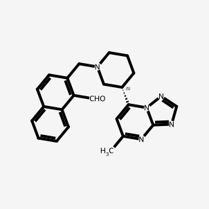 Cc1cc([C@H]2CCCN(Cc3ccc4ccccc4c3C=O)C2)n2ncnc2n1